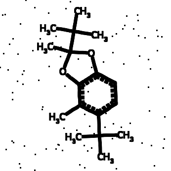 Cc1c(C(C)(C)C)ccc2c1OC(C)(C(C)(C)C)O2